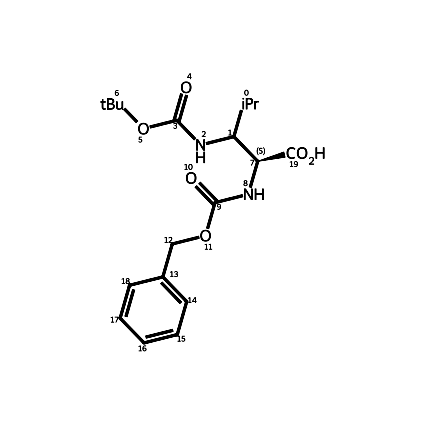 CC(C)C(NC(=O)OC(C)(C)C)[C@H](NC(=O)OCc1ccccc1)C(=O)O